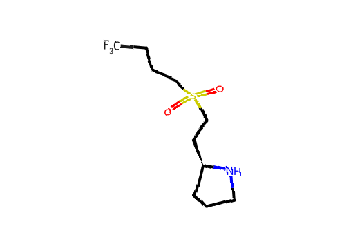 O=S(=O)(CCCC(F)(F)F)CC[C@@H]1CCCN1